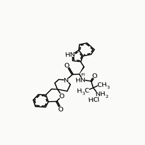 CC(C)(N)C(=O)N[C@H](Cc1c[nH]c2ccccc12)C(=O)N1CCC2(CC1)Cc1ccccc1C(=O)O2.Cl